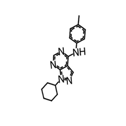 Cc1ccc(Nc2ncnc3c2cnn3C2CCCCC2)cc1